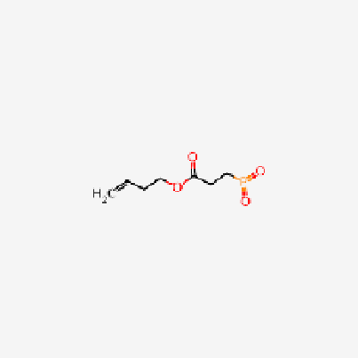 C=CCCOC(=O)CCP(=O)=O